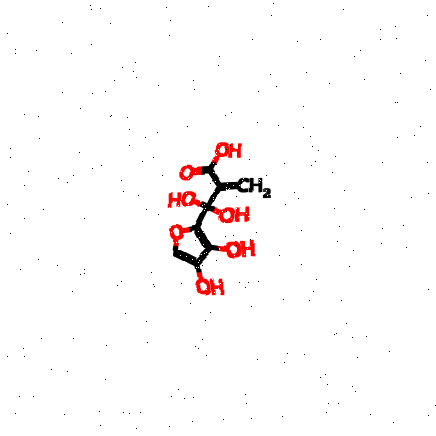 C=C(C(=O)O)C(O)(O)c1occ(O)c1O